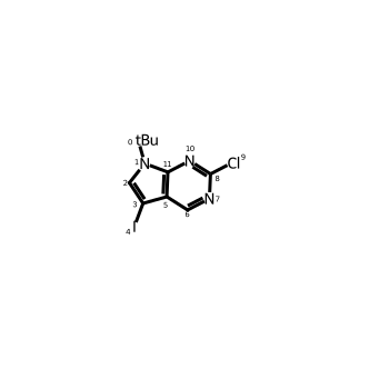 CC(C)(C)n1cc(I)c2cnc(Cl)nc21